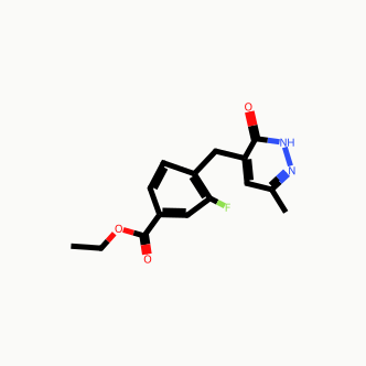 CCOC(=O)c1ccc(Cc2cc(C)n[nH]c2=O)c(F)c1